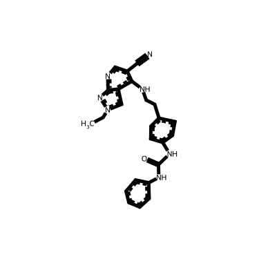 CCn1cc2c(NCCc3ccc(NC(=O)Nc4ccccc4)cc3)c(C#N)cnc2n1